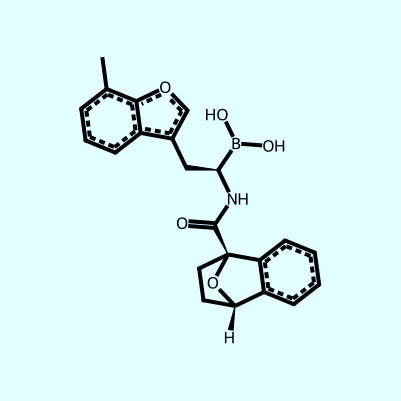 Cc1cccc2c(C[C@H](NC(=O)[C@]34CC[C@H](O3)c3ccccc34)B(O)O)coc12